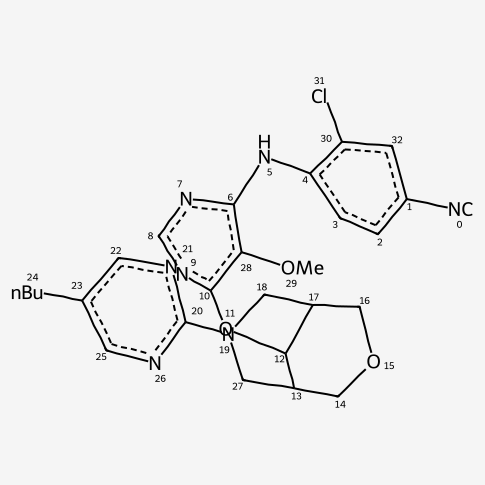 [C-]#[N+]c1ccc(Nc2ncnc(OC3C4COCC3CN(c3ncc(CCCC)cn3)C4)c2OC)c(Cl)c1